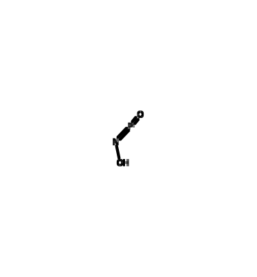 O=[P]=NO